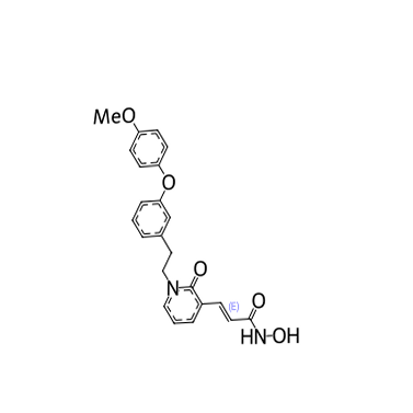 COc1ccc(Oc2cccc(CCn3cccc(/C=C/C(=O)NO)c3=O)c2)cc1